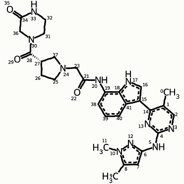 Cc1cnc(Nc2cc(C)n(C)n2)nc1-c1c[nH]c2c(NC(=O)CN3CC[C@H](C(=O)N4CCNC(=O)C4)C3)cccc12